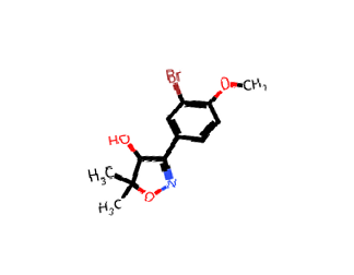 COc1ccc(C2=NOC(C)(C)C2O)cc1Br